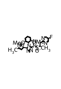 COc1cccc(OC)c1-n1c(N[S+]([O-])C(C)Cc2ncc(F)cn2)nnc1-c1cc(C)no1